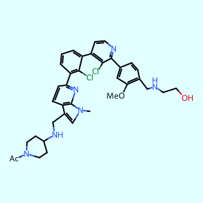 COc1cc(-c2nccc(-c3cccc(-c4ccc5c(CNC6CCN(C(C)=O)CC6)cn(C)c5n4)c3Cl)c2Cl)ccc1CNCCO